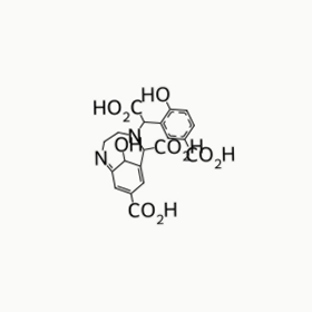 O=C(O)C1=CC2=NCCN(C(C(=O)O)c3cc(C(=O)O)ccc3O)C(C(=O)O)C(=C1)C2O